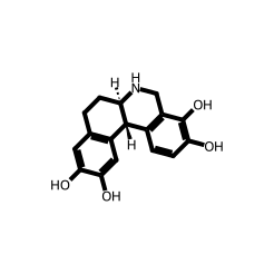 Oc1cc2c(cc1O)[C@H]1c3ccc(O)c(O)c3CN[C@@H]1CC2